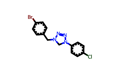 Clc1ccc(N2CN(Cc3ccc(Br)cc3)N=N2)cc1